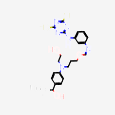 O=C(O)C(O)c1ccc(N(CCO)CCCO/C=N\c2cccc(Nc3nc(S)nc(S)n3)c2)cc1